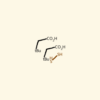 CC(C)(C)CC(=O)O.CC(C)(C)CC(=O)O.SS